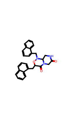 O=C1CN2C(=O)C(Cc3cccc4ccccc34)ON(Cc3cccc4ccccc34)C2CN1